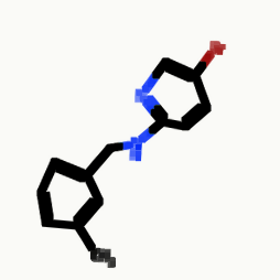 Cc1cccc(CNc2ccc(Br)cn2)c1